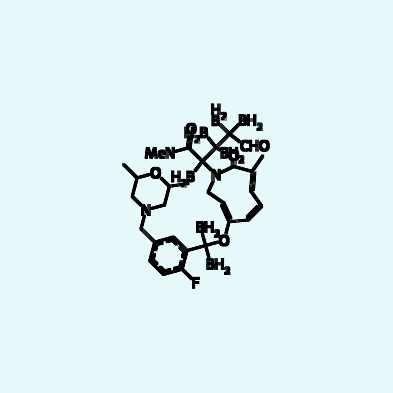 BC(B)(OC1=C\CN(C(B)(C(=O)NC)C(B)(B)C(B)(B)C=O)C(=O)/C(C)=C/C=C\1)c1cc(CN2CC(C)OC(C)C2)ccc1F